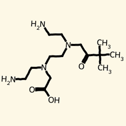 CC(C)(C)C(=O)CN(CCN)CCN(CCN)CC(=O)O